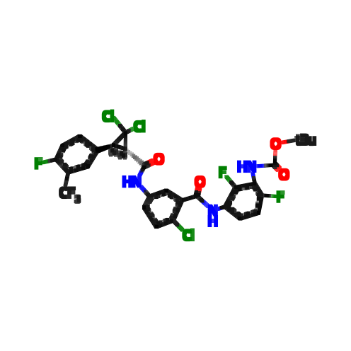 CC(C)(C)OC(=O)Nc1c(F)ccc(NC(=O)c2cc(NC(=O)[C@@H]3[C@@H](c4ccc(F)c(C(F)(F)F)c4)C3(Cl)Cl)ccc2Cl)c1F